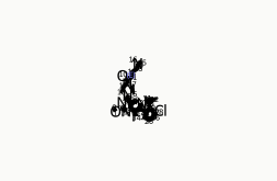 COc1nc(N2CCN(C(=O)/C=C/CN(C)C)CC2)c2cnc(-c3cccc(Cl)c3C3CC3)c(F)c2n1